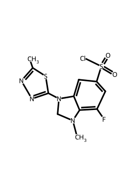 Cc1nnc(N2CN(C)c3c(F)cc(S(=O)(=O)Cl)cc32)s1